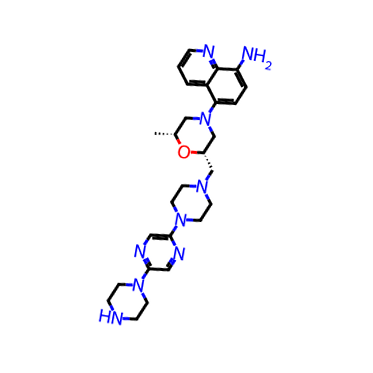 C[C@@H]1CN(c2ccc(N)c3ncccc23)C[C@H](CN2CCN(c3cnc(N4CCNCC4)cn3)CC2)O1